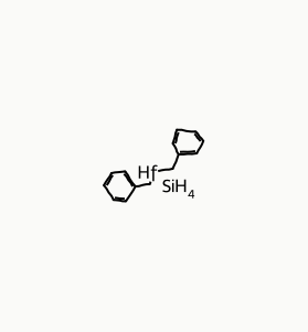 [SiH4].c1ccc([CH2][Hf][CH2]c2ccccc2)cc1